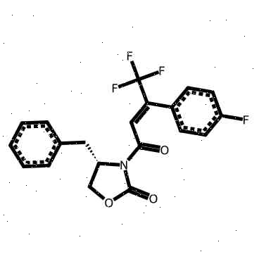 O=C(/C=C(\c1ccc(F)cc1)C(F)(F)F)N1C(=O)OC[C@@H]1Cc1ccccc1